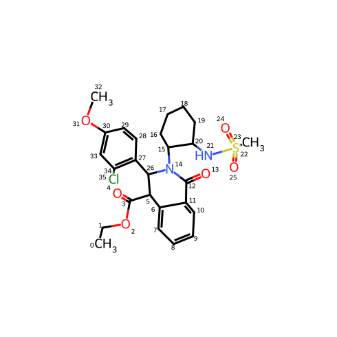 CCOC(=O)C1c2ccccc2C(=O)N(C2CCCCC2NS(C)(=O)=O)C1c1ccc(OC)cc1Cl